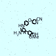 COc1cc(-c2cc(Nc3ccc(Oc4ccnc(C#N)c4)cc3)nc(N)n2)ccc1O